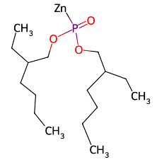 CCCCC(CC)CO[P](=O)([Zn])OCC(CC)CCCC